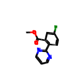 COC(=O)c1cc(F)ccc1-c1ncccn1